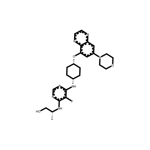 C[C@H](CO)Nc1ncnc(N[C@H]2CC[C@@H](Oc3cc(N4CCOCC4)cc4nccnc34)CC2)c1F